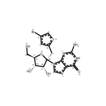 Nc1nc2c(ncn2[C@]2(Cc3cc(Br)cs3)O[C@H](CO)[C@@H](O)[C@H]2O)c(=O)[nH]1